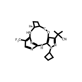 CC(C)(C#N)c1nn(C2CCC2)c2c1OCC1CC[C@@H]1Nc1nc(ncc1C(F)(F)F)N2